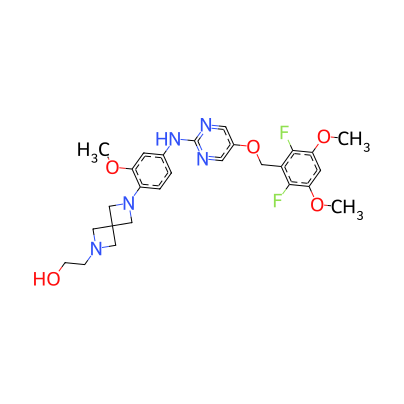 COc1cc(Nc2ncc(OCc3c(F)c(OC)cc(OC)c3F)cn2)ccc1N1CC2(CN(CCO)C2)C1